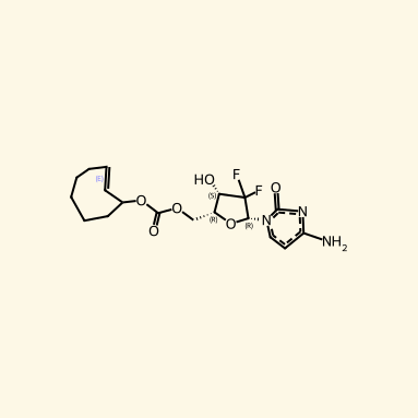 Nc1ccn([C@@H]2O[C@H](COC(=O)OC3/C=C/CCCCC3)[C@H](O)C2(F)F)c(=O)n1